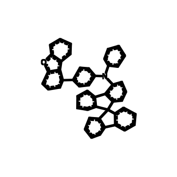 c1ccc(N(c2ccc(-c3cccc4oc5ccccc5c34)cc2)c2cccc3c2-c2ccccc2C32c3ccccc3-c3ccccc32)cc1